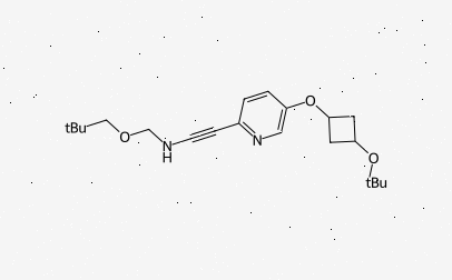 CC(C)(C)COCNC#Cc1ccc(OC2CC(OC(C)(C)C)C2)cn1